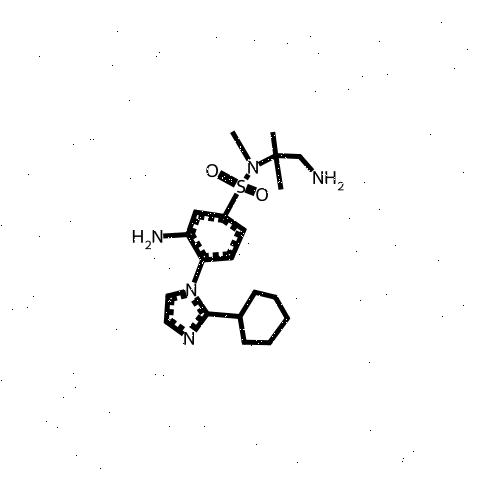 CN(C(C)(C)CN)S(=O)(=O)c1ccc(-n2ccnc2C2CCCCC2)c(N)c1